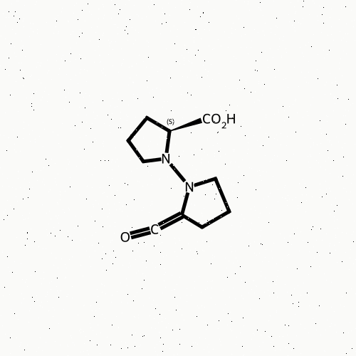 O=C=C1CCCN1N1CCC[C@H]1C(=O)O